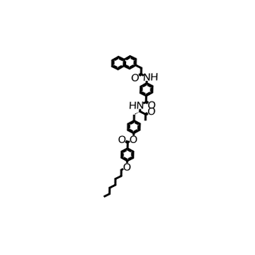 CCCCCCCOc1ccc(C(=O)Oc2ccc(C[C@H](NC(=O)c3ccc(NC(=O)Cc4ccc5ccccc5c4)cc3)C(C)=O)cc2)cc1